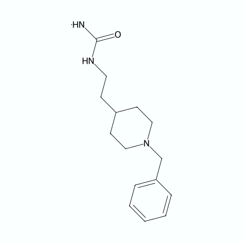 [NH]C(=O)NCCC1CCN(Cc2ccccc2)CC1